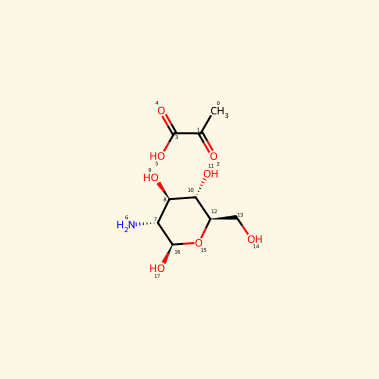 CC(=O)C(=O)O.N[C@@H]1[C@@H](O)[C@H](O)[C@@H](CO)O[C@H]1O